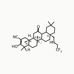 CC1(C)CC[C@]2(CNCC(F)(F)F)CC[C@]3(C)C(C(=O)C[C@@H]4[C@@]5(C)CC(C#N)=C(O)C(C)(C)[C@@H]5CC[C@]43C)C2C1